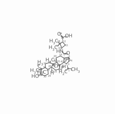 C=C(C)[C@@H]1CC[C@]2(C(=O)N[C@@H]3C[C@H](C(=O)O)C3(C)C)CC[C@]3(C)[C@H](CC[C@@H]4[C@@]5(C)CC[C@H](O)C(C)(C)C5CC[C@]43C)[C@@H]12